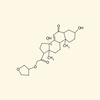 CC12CCC(O)CC1C(=O)C=C1C2CCC2(C)C(C(=O)COC3CCOC3)CC[C@@]12O